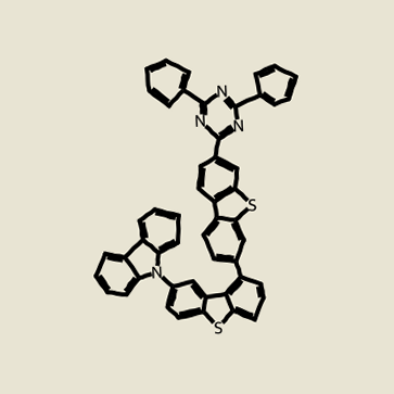 c1ccc(-c2nc(-c3ccccc3)nc(-c3ccc4c(c3)sc3cc(-c5cccc6sc7ccc(-n8c9ccccc9c9ccccc98)cc7c56)ccc34)n2)cc1